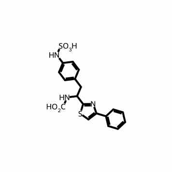 O=C(O)NC(Cc1ccc(NS(=O)(=O)O)cc1)c1nc(-c2ccccc2)cs1